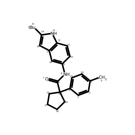 Cc1ccc(C2(C(=O)Nc3ccc4[nH]c(C(C)(C)C)cc4c3)CCCC2)cc1